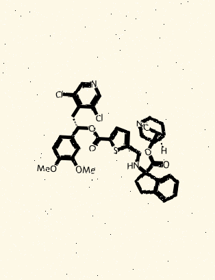 COc1ccc([C@H](Cc2c(Cl)cncc2Cl)OC(=O)c2ccc(CNC3(C(=O)O[C@H]4CN5CCC4CC5)CCc4ccccc43)s2)cc1OC